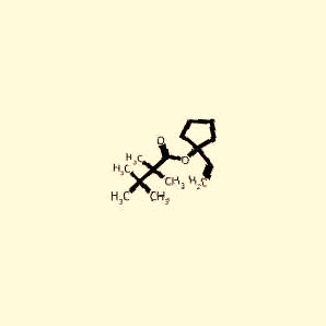 C=CC1(OC(=O)C(C)(C)C(C)(C)C)CCCC1